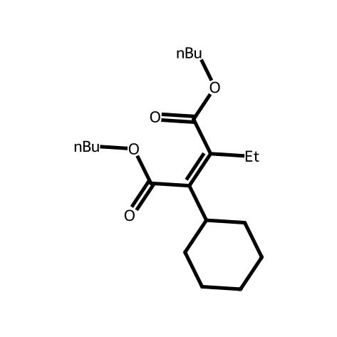 CCCCOC(=O)/C(CC)=C(\C(=O)OCCCC)C1CCCCC1